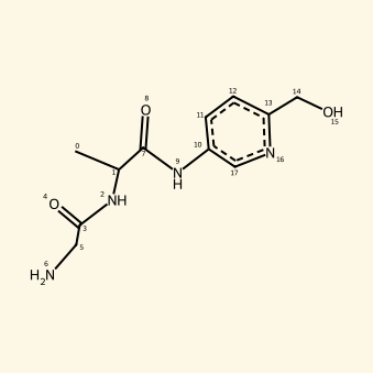 CC(NC(=O)CN)C(=O)Nc1ccc(CO)nc1